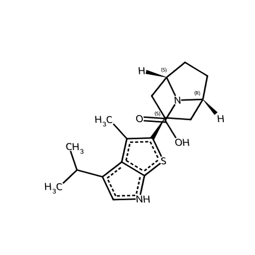 Cc1c([C@@H]2C[C@H]3CC[C@@H](C2)N3C(=O)O)sc2[nH]cc(C(C)C)c12